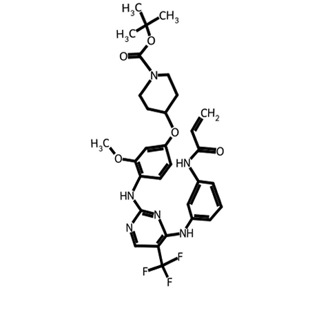 C=CC(=O)Nc1cccc(Nc2nc(Nc3ccc(OC4CCN(C(=O)OC(C)(C)C)CC4)cc3OC)ncc2C(F)(F)F)c1